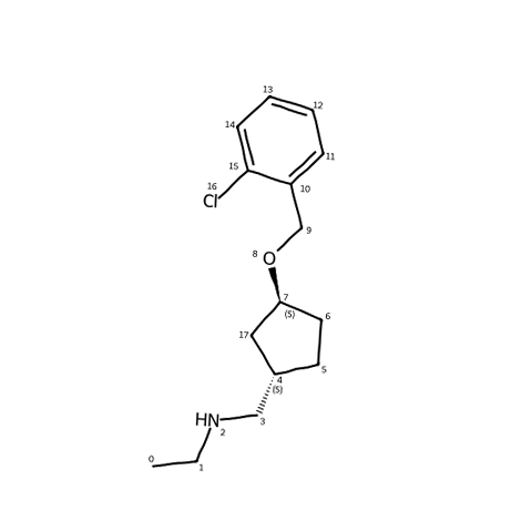 CCNC[C@H]1CC[C@H](OCc2ccccc2Cl)C1